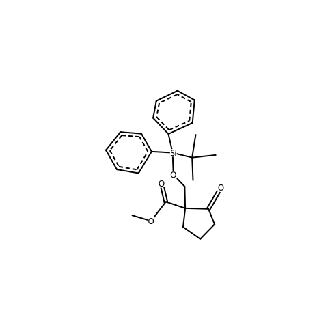 COC(=O)C1(CO[Si](c2ccccc2)(c2ccccc2)C(C)(C)C)CCCC1=O